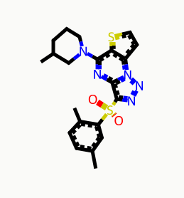 Cc1ccc(C)c(S(=O)(=O)c2nnn3c2nc(N2CCCC(C)C2)c2sccc23)c1